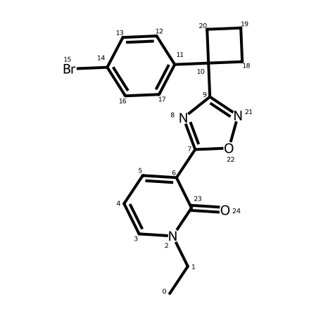 CCn1cccc(-c2nc(C3(c4ccc(Br)cc4)CCC3)no2)c1=O